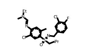 CCN(C)C=Nc1cc(C)c(S(=O)(CC(C)C)=NCc2ccc(F)c(Cl)c2)cc1Cl